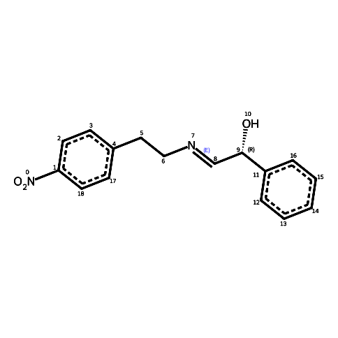 O=[N+]([O-])c1ccc(CC/N=C/[C@H](O)c2ccccc2)cc1